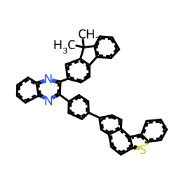 CC1(C)c2ccccc2-c2ccc(-c3nc4ccccc4nc3-c3ccc(-c4ccc5c(ccc6sc7ccccc7c65)c4)cc3)cc21